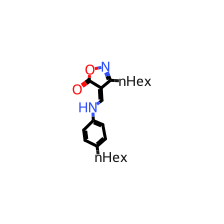 CCCCCCC1=NOC(=O)C1=CNc1ccc(CCCCCC)cc1